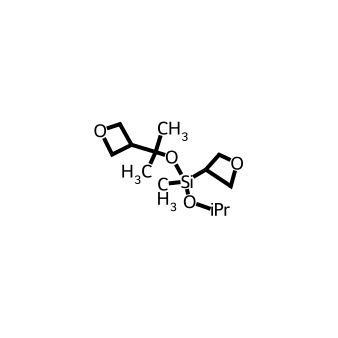 CC(C)O[Si](C)(OC(C)(C)C1COC1)C1COC1